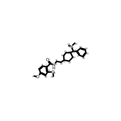 COc1ccc(C(=O)NCCC2CCC(C(c3ccccc3)N(C)C)CC2)c(OC)c1